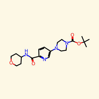 CC(C)(C)OC(=O)N1CCN(c2ccc(C(=O)NC3CCOCC3)nc2)CC1